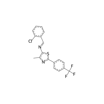 Cc1nc(-c2ccc(C(F)(F)F)cc2)sc1N=Cc1ccccc1Cl